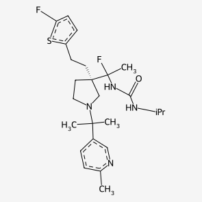 Cc1ccc(C(C)(C)N2CC[C@@](CCc3ccc(F)s3)(C(C)(F)NC(=O)NC(C)C)C2)cn1